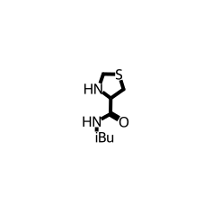 CCC(C)NC(=O)C1CSCN1